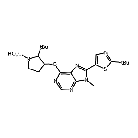 Cn1c(-c2cnc(C(C)(C)C)s2)nc2c(OC3CCN(C(=O)O)C3C(C)(C)C)ncnc21